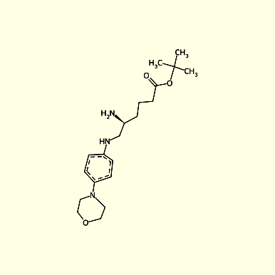 CC(C)(C)OC(=O)CCC[C@H](N)CNc1ccc(N2CCOCC2)cc1